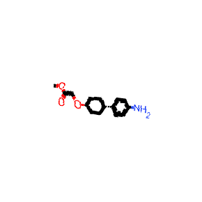 COC(=O)CO[C@H]1CC[C@H](c2ccc(N)cc2)CC1